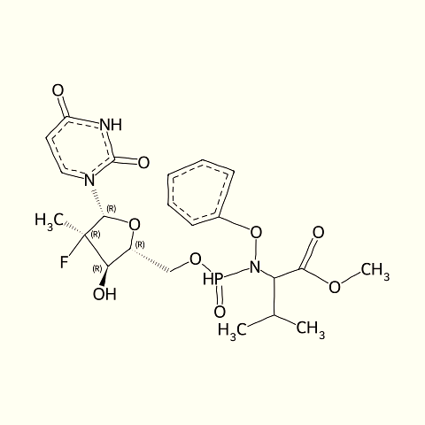 COC(=O)C(C(C)C)N(Oc1ccccc1)[PH](=O)OC[C@H]1O[C@@H](n2ccc(=O)[nH]c2=O)[C@](C)(F)[C@@H]1O